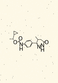 CC1CC(=O)NN=C1c1ccc(NC(=O)OC(C)C2CC2)cc1